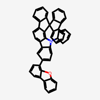 C1=CCC(n2c3ccc(-c4cccc5c4oc4ccccc45)cc3c3ccc4c(c32)C2(c3ccccc3-c3ccccc32)c2ccccc2-4)C=C1